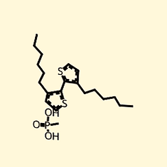 CCCCCCc1ccsc1-c1sccc1CCCCCC.CP(=O)(O)O